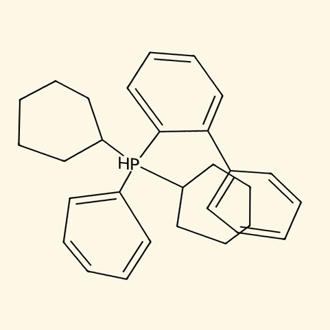 c1ccc(-c2ccccc2[PH](c2ccccc2)(C2CCCCC2)C2CCCCC2)cc1